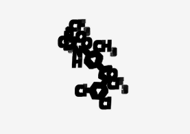 Cc1cc(C2=COC(c3cc(Cl)cc(Cl)c3)(C(F)(F)F)C2)ccc1C(=O)N[C@H]1CON(CC(F)(F)F)C1=O